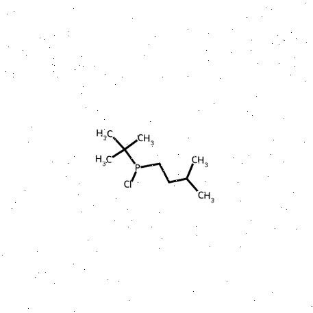 CC(C)CCP(Cl)C(C)(C)C